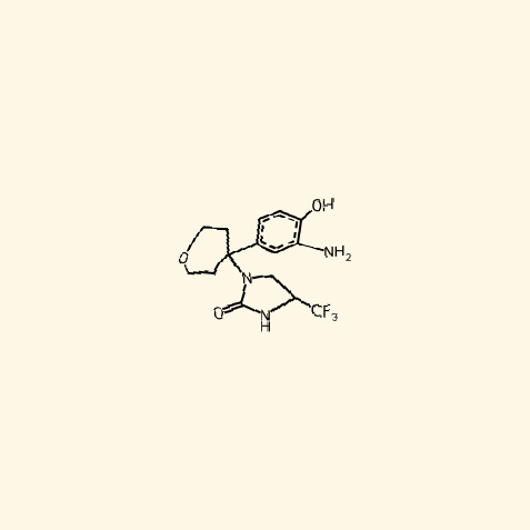 Nc1cc(C2(N3CC(C(F)(F)F)NC3=O)CCOCC2)ccc1O